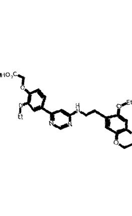 CCOc1cc2c(cc1CCNc1cc(-c3ccc(OCC(=O)O)c(OCC)c3)ncn1)OCCO2